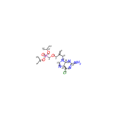 C=C(COCP(=O)(OC(C)C)OC(C)C)Cn1cnc2c(Cl)nc(N)nc21